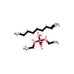 C=CCCCCCCC.CCOP(=O)(O)OCC